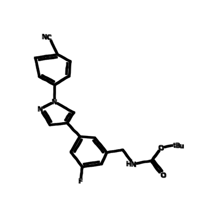 CC(C)(C)OC(=O)NCc1cc(F)cc(-c2cnn(-c3ccc(C#N)cc3)c2)c1